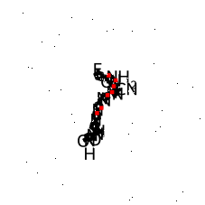 C[C@@H](Oc1cc(-c2c(C#N)ncn2Cc2cnn(CC3CCN(C4CCN(c5ccc6c(N7CCC(=O)NC7=O)nn(C)c6c5)CC4)CC3)c2)cnc1N)c1cccc(F)c1